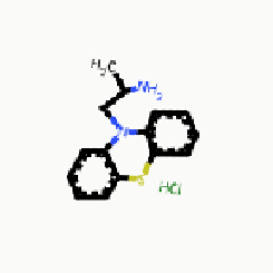 CC(N)CN1c2ccccc2Sc2ccccc21.Cl